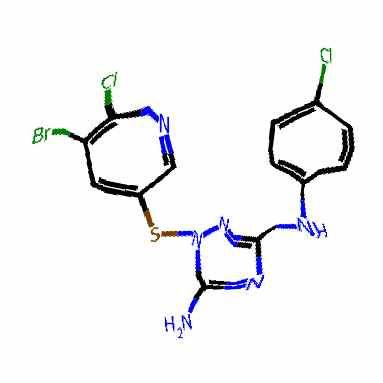 Nc1nc(Nc2ccc(Cl)cc2)nn1Sc1cnc(Cl)c(Br)c1